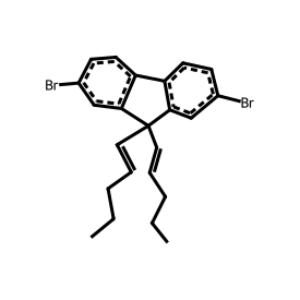 CCCC=CC1(C=CCCC)c2cc(Br)ccc2-c2ccc(Br)cc21